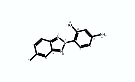 Cc1ccc2nn(-c3ccc(N)cc3O)nc2c1